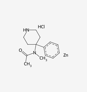 CC(=O)N(C)C1(c2ccccc2)CCNCC1.Cl.[Zn]